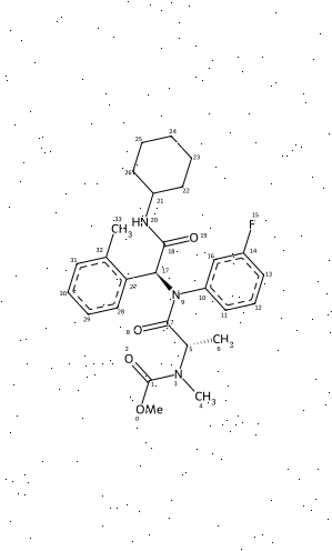 COC(=O)N(C)[C@@H](C)C(=O)N(c1cccc(F)c1)[C@H](C(=O)NC1CCCCC1)c1ccccc1C